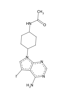 CC(=O)NC1CCC(n2cc(I)c3c(N)ncnc32)CC1